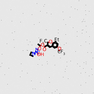 CCc1cc(OC(F)(F)F)cc2c1O[C@H](C(F)(F)F)C(C(=O)OC(C)O/N=[N+](\O)N1CCC1)=C2